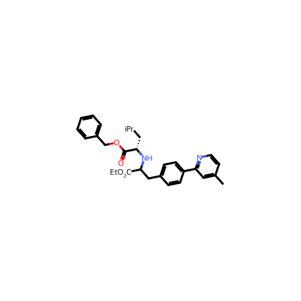 CCOC(=O)C(Cc1ccc(-c2cc(C)ccn2)cc1)N[C@@H](CC(C)C)C(=O)OCc1ccccc1